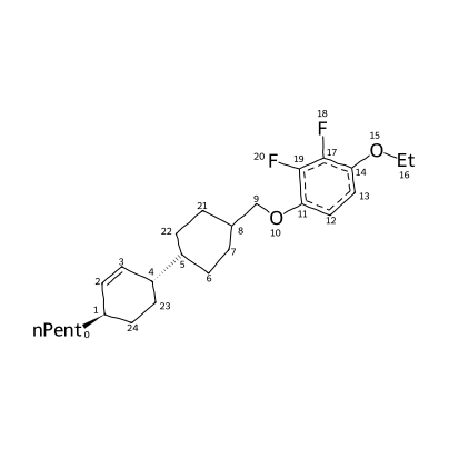 CCCCC[C@H]1C=C[C@H](C2CCC(COc3ccc(OCC)c(F)c3F)CC2)CC1